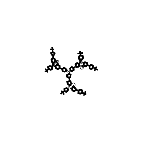 CC(C)(C)c1ccc(-c2ccc3c(c2)Oc2cc(-c4ccc(N(c5ccc(-c6ccc7c(c6)Oc6cc(-c8ccc(C(C)(C)C)cc8)ccc6N7c6ccc(C(C)(C)C)cc6)cc5)c5ccc(-c6ccc7c(c6)Oc6cc(-c8ccc(C(C)(C)C)cc8)ccc6N7c6ccc(C(C)(C)C)cc6)cc5)cc4)ccc2N3c2ccc(C(C)(C)C)cc2)cc1